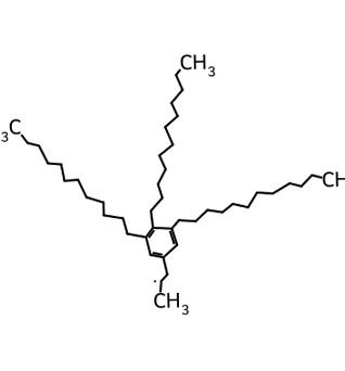 C[CH]Cc1cc(CCCCCCCCCCCC)c(CCCCCCCCCCCC)c(CCCCCCCCCCCC)c1